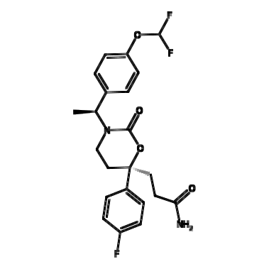 C[C@@H](c1ccc(OC(F)F)cc1)N1CC[C@](CCC(N)=O)(c2ccc(F)cc2)OC1=O